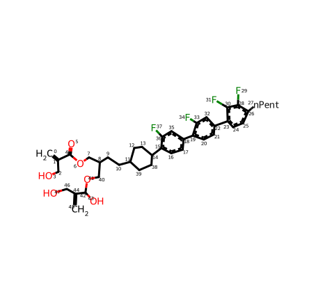 C=C(CO)C(=O)OCC(CCC1CCC(c2ccc(-c3ccc(-c4ccc(CCCCC)c(F)c4F)cc3F)cc2F)CC1)COC(O)C(=C)CO